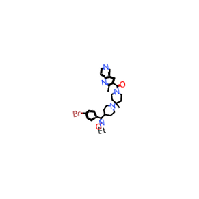 CCON=C(c1ccc(Br)cc1)C1CCN(C2(C)CCN(C(=O)c3cc4cnccc4nc3C)CC2)CC1